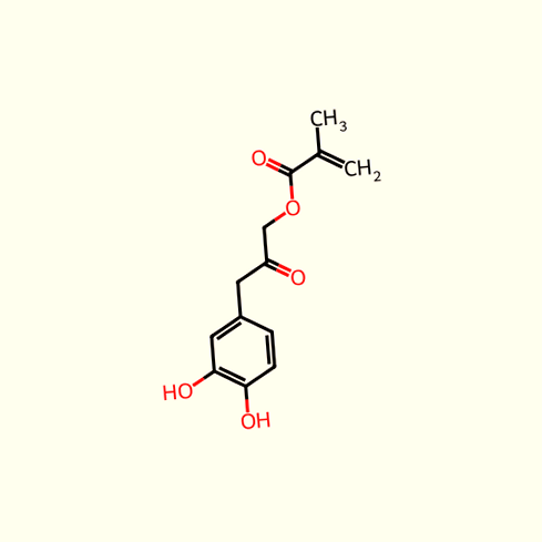 C=C(C)C(=O)OCC(=O)Cc1ccc(O)c(O)c1